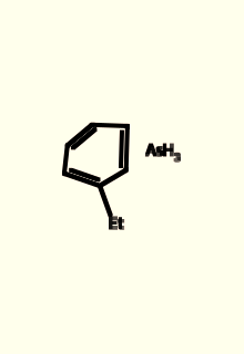 CCc1ccccc1.[AsH3]